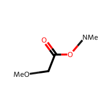 CNOC(=O)COC